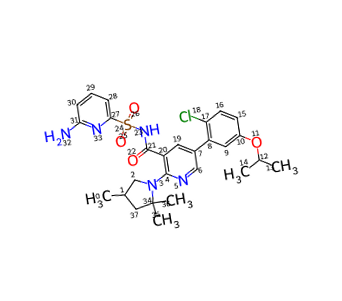 CC1CN(c2ncc(-c3cc(OC(C)C)ccc3Cl)cc2C(=O)NS(=O)(=O)c2cccc(N)n2)C(C)(C)C1